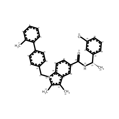 Cc1ccccc1-c1ccc(Cn2c(C)c(C)c3cc(C(=O)N[C@@H](C)c4cccc(Cl)c4)ccc32)cc1